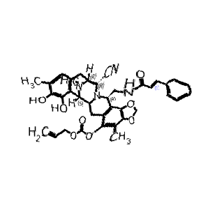 C=CCOC(=O)Oc1c(C)c2c(c3c1CC1[C@@H]4c5c(cc(C)c(O)c5O)C[C@H]([C@H](C#N)N1[C@H]3CNC(=O)/C=C/c1ccccc1)N4C)OCO2